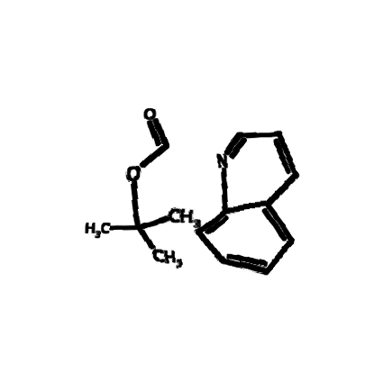 CC(C)(C)OC=O.c1ccc2ncccc2c1